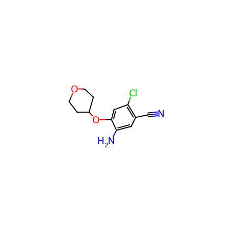 N#Cc1cc(N)c(OC2CCOCC2)cc1Cl